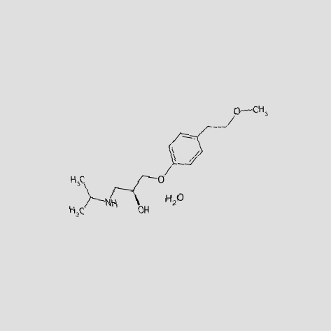 COCCc1ccc(OC[C@@H](O)CNC(C)C)cc1.O